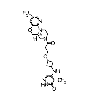 O=C(CCOC1CC(Nc2cn[nH]c(=O)c2C(F)(F)F)C1)N1CCN2c3ncc(C(F)(F)F)cc3OC[C@@H]2C1